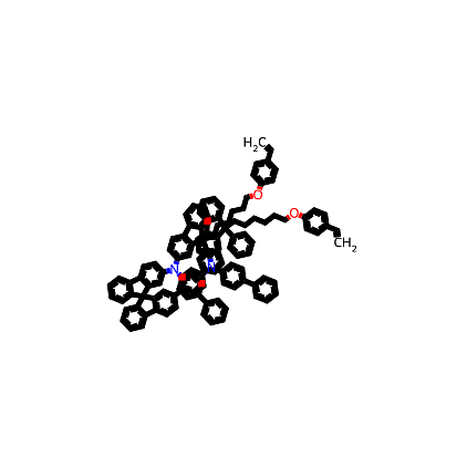 C=Cc1ccc(OCCCCCCC2(c3ccccc3)c3ccccc3-c3ccc(N(c4ccc(-c5ccccc5)cc4)c4ccc(-c5ccc6c(c5)C5(c7ccccc7-6)c6ccccc6-c6ccc(N(c7ccc(-c8ccccc8)cc7)c7ccc8c(c7)C(CCCCCCOc7ccc(C=C)cc7)(c7ccccc7)c7ccccc7-8)cc65)cc4)cc32)cc1